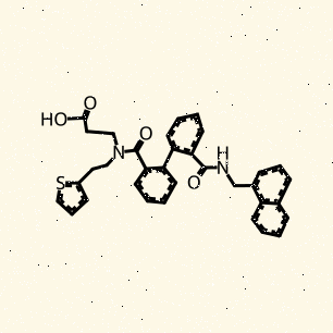 O=C(O)CCN(CCc1cccs1)C(=O)c1ccccc1-c1ccccc1C(=O)NCc1cccc2ccccc12